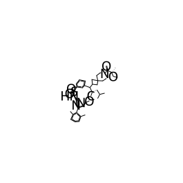 CO[C@@H](C)C(=O)N1CCC2(CC1)CC(C1c3cccc(c3)S(=O)(=O)Nc3nc(cc(-c4c(C)cccc4C)n3)OC[C@H]1CC(C)C)C2